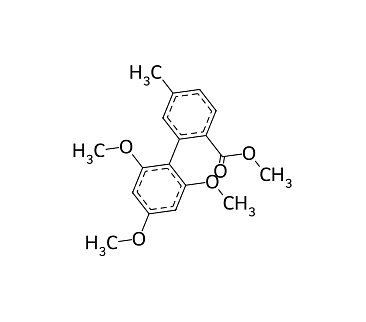 COC(=O)c1ccc(C)cc1-c1c(OC)cc(OC)cc1OC